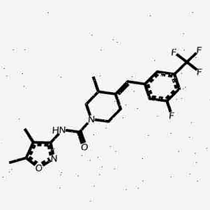 Cc1onc(NC(=O)N2CCC(=Cc3cc(F)cc(C(F)(F)F)c3)C(C)C2)c1C